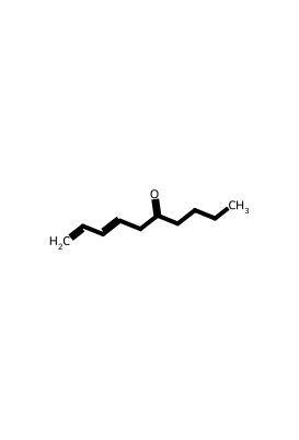 C=CC=CCC(=O)CCCC